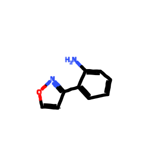 Nc1ccccc1-c1[c]con1